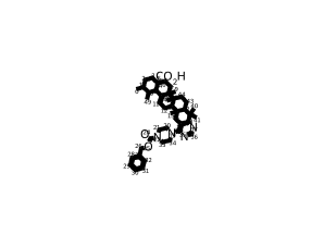 CC1CCC2(C(=O)O)CCC3(C)C(=CCC4C5(C)Cc6c(N7CCN(C(=O)OCc8ccccc8)CC7)ncnc6C(C)(C)C5CCC43C)C2C1C